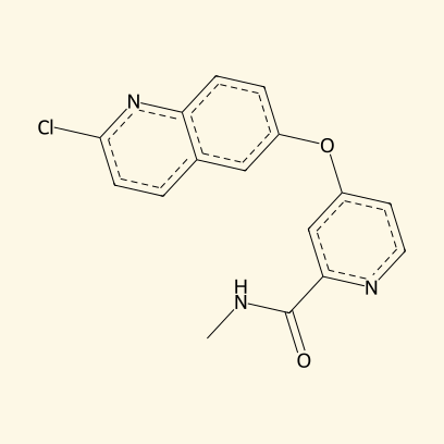 CNC(=O)c1cc(Oc2ccc3nc(Cl)ccc3c2)ccn1